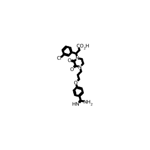 N=C(N)c1ccc(OCCCN2CCN(C(CC(=O)O)c3cccc(Cl)c3)C(=O)C2=O)cc1